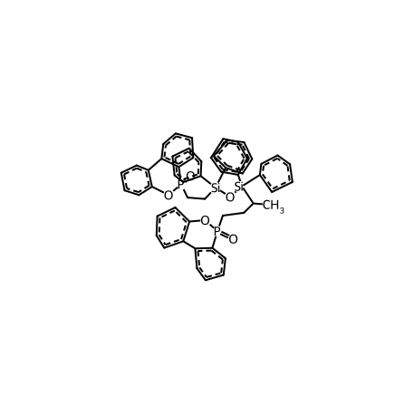 CC(CCP1(=O)Oc2ccccc2-c2ccccc21)[Si](O[Si](CCP1(=O)Oc2ccccc2-c2ccccc21)(c1ccccc1)c1ccccc1)(c1ccccc1)c1ccccc1